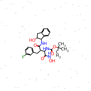 CC(C)(C)OC(=O)NC(C(=O)NO)C(Cc1cccc(F)c1)C(=O)NC1c2ccccc2CC1O